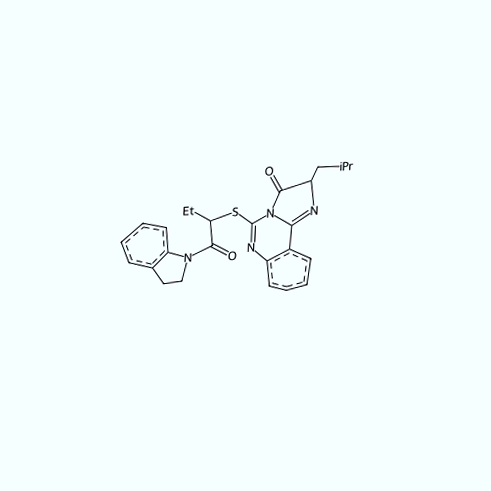 CCC(SC1=Nc2ccccc2C2=NC(CC(C)C)C(=O)N12)C(=O)N1CCc2ccccc21